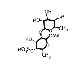 COC1O[C@H](C)[C@H](OS(=O)(=O)O)[C@H](O)[C@H]1OC1O[C@H](C)[C@H](O)[C@H](O)[C@H]1O